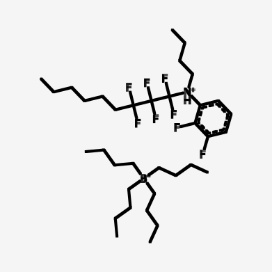 CCCCCCC(F)(F)C(F)(F)C(F)(F)[NH+](CCCC)c1cccc(F)c1F.CCCC[B-](CCCC)(CCCC)CCCC